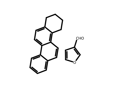 O=Cc1ccoc1.c1ccc2c(c1)ccc1c3c(ccc12)CCCC3